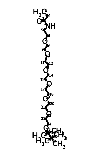 C=CC(=O)NCCOCCOCCOCCOCCOCCOCCOC(C)(C)C(C)(C)C